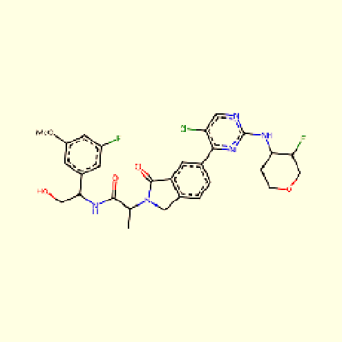 COc1cc(F)cc(C(CO)NC(=O)C(C)N2Cc3ccc(-c4nc(NC5CCOCC5F)ncc4Cl)cc3C2=O)c1